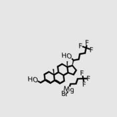 C[C@]12CCC(CO)=CC1=CCC1C2CC[C@@]2(C)C1CC[C@@H]2C(O)CCCC(F)(F)F.FC(F)(F)CC[CH2][Mg][Br]